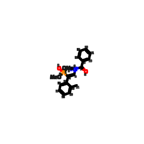 COP(=O)(OC)C(=CNC(=O)c1ccccc1)c1ccccc1C